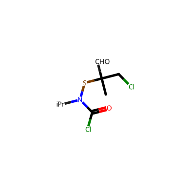 CC(C)N(SC(C)(C=O)CCl)C(=O)Cl